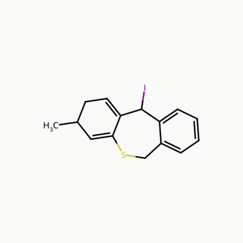 CC1C=C2SCc3ccccc3C(I)C2=CC1